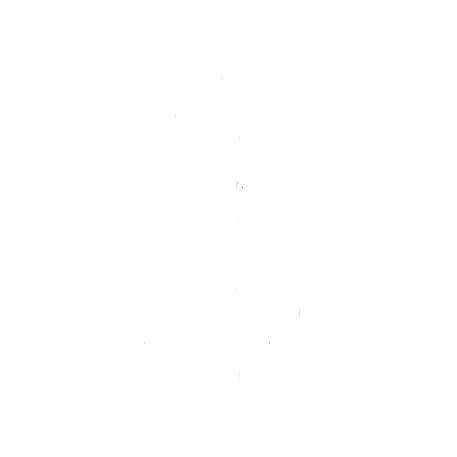 CCCC(OC(=O)NCC1(OC(C)=O)CCCCC1)OC(=O)C(C)(C)C